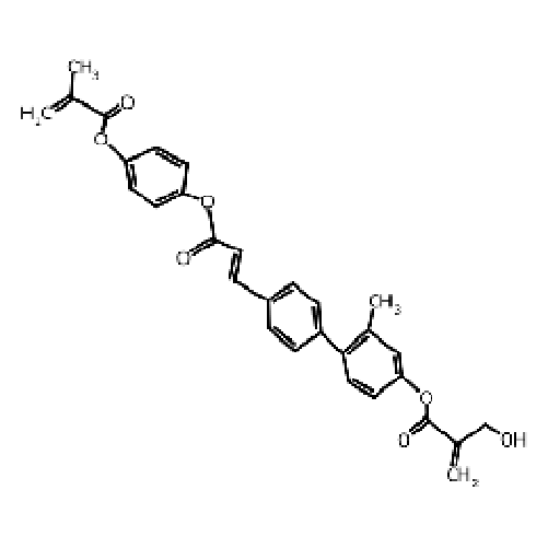 C=C(C)C(=O)Oc1ccc(OC(=O)/C=C/c2ccc(-c3ccc(OC(=O)C(=C)CO)cc3C)cc2)cc1